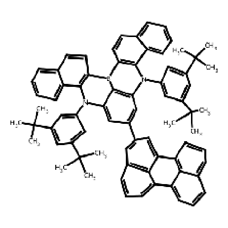 CC(C)(C)c1cc(N2c3cc(-c4cc5cccc6c7cccc8cccc(c(c4)c56)c87)cc4c3B(c3ccc5ccccc5c32)c2ccc3ccccc3c2N4c2cc(C(C)(C)C)cc(C(C)(C)C)c2)cc(C(C)(C)C)c1